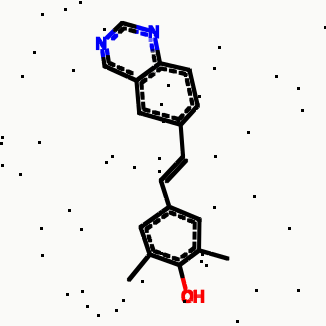 Cc1cc(C=Cc2ccc3ncncc3c2)cc(C)c1O